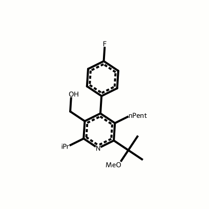 CCCCCc1c(C(C)(C)OC)nc(C(C)C)c(CO)c1-c1ccc(F)cc1